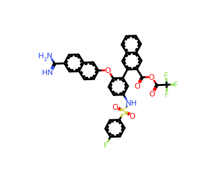 N=C(N)c1ccc2cc(Oc3ccc(NS(=O)(=O)c4ccc(F)cc4)cc3-c3cc4ccccc4cc3C(=O)OC(=O)C(F)(F)F)ccc2c1